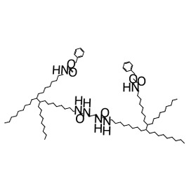 CCCCCCCCCC(CCCCCCCCNC(=O)NCCNC(=O)NCCCCCCCCC(CCCCCCCCC)C(CCCCCCCCC)CCCCCCCCNC(=O)OCc1ccccc1)C(CCCCCCCCC)CCCCCCCCNC(=O)OCc1ccccc1